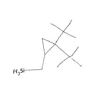 CC(C)(C)C1(C(C)(C)C)CC1C[SiH3]